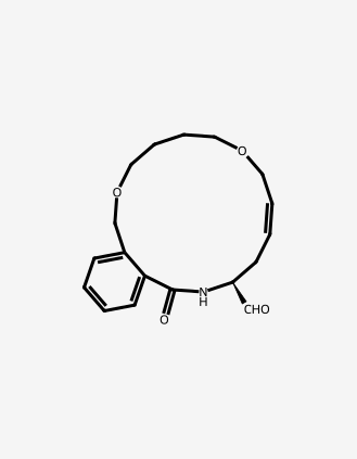 O=C[C@@H]1C/C=C\COCCCCOCc2ccccc2C(=O)N1